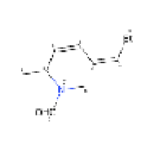 CC/C=C\C=C/C(C)N(C)C=O